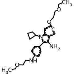 CCOCCNc1ccc(-c2c(N)c3ccc(OCCOCC)cc3n2C2CCC2)cc1